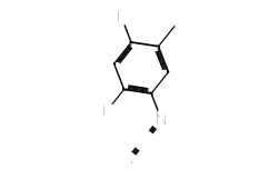 Cc1cc(N=C=O)c(F)cc1F